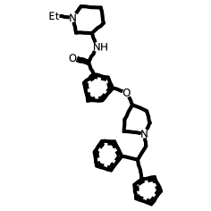 CCN1CCCC(NC(=O)c2cccc(OC3CCN(CC(c4ccccc4)c4ccccc4)CC3)c2)C1